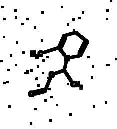 CC1=CCC=CN1C(C)OC=O